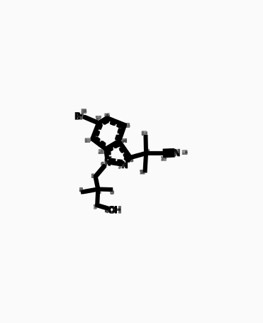 CC(C)(CO)Cn1nc(C(C)(C)C#N)c2ccc(Br)cc21